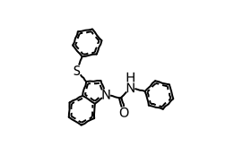 O=C(Nc1ccccc1)n1cc(Sc2ccccc2)c2ccccc21